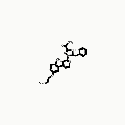 COCCOc1ccc(C)c(-c2ccnc(N3N=C(C(N)=O)NC3Cc3ccccc3)c2)c1